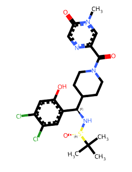 Cn1cc(C(=O)N2CCC([C@@H](N[S@@+]([O-])C(C)(C)C)c3cc(Cl)c(Cl)cc3O)CC2)ncc1=O